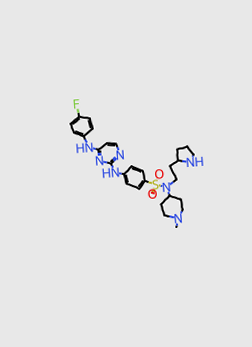 CN1CCC(N(CCC2CCCN2)S(=O)(=O)c2ccc(Nc3nccc(Nc4ccc(F)cc4)n3)cc2)CC1